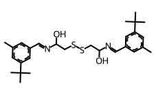 Cc1cc(C=NC(O)CSSCC(O)N=Cc2cc(C)cc(C(C)(C)C)c2)cc(C(C)(C)C)c1